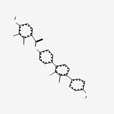 CCCCOc1ccc(-c2ccc(-c3ccc(OC(=O)c4ccc(OCC)c(F)c4F)cc3)c(F)c2F)cc1